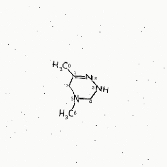 CC1=NNCN(C)C1